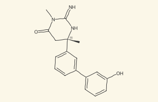 CN1C(=N)N[C@](C)(c2cccc(-c3cccc(O)c3)c2)CC1=O